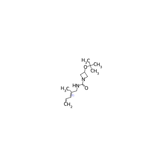 C=C/C=C(\C)CNC(=O)N1CC(OC(C)(C)C)C1